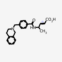 CC(/C=C/C(=O)O)NC(=O)c1ccc(CN2CCc3ccccc3C2)cc1